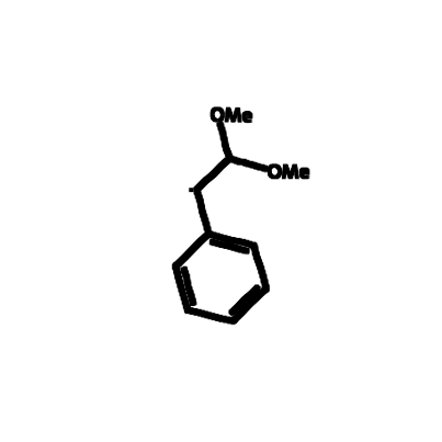 COC([CH]c1ccccc1)OC